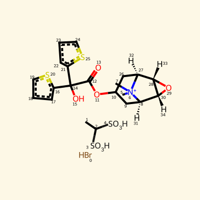 Br.CC(S(=O)(=O)O)S(=O)(=O)O.C[N+]1(C)[C@@H]2CC(OC(=O)C(O)(c3cccs3)c3cccs3)C[C@H]1[C@@H]1O[C@@H]12